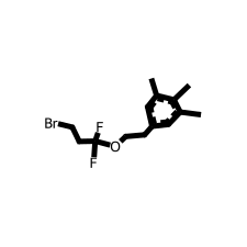 Cc1cc(CCOC(F)(F)CCBr)cc(C)c1C